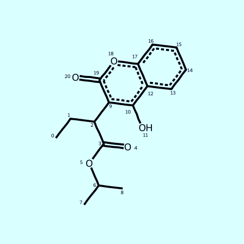 CCC(C(=O)OC(C)C)c1c(O)c2ccccc2oc1=O